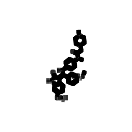 CN1CCN(CC(=O)N(C)c2ccc(N/C(=C3\C(=O)Nc4cc(C(=O)O)ccc43)c3ccccc3)cc2)CC1.CS(=O)(=O)O